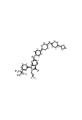 C=CCn1c(=O)c2cnc(Nc3ccc(N4CCN(CC5CCC(N6C[CH]C6)CC5)CC4)cc3)nc2n1-c1cccc(C(C)(C)O)n1